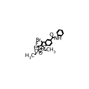 CCOP(=O)(OCC)C(F)(F)c1sc2ccc(C(=O)Nc3ccccc3)cc2c1Br